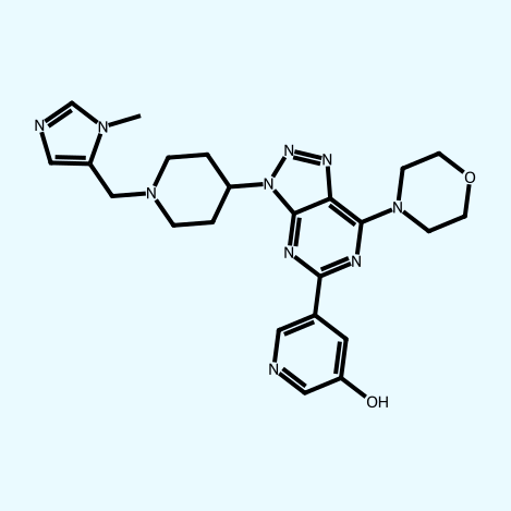 Cn1cncc1CN1CCC(n2nnc3c(N4CCOCC4)nc(-c4cncc(O)c4)nc32)CC1